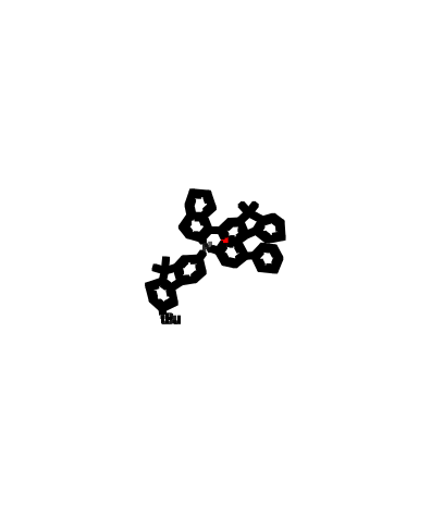 CC(C)(C)c1ccc2c(c1)-c1ccc(N(c3ccc(-c4ccccc4)cc3)c3ccc4ccccc4c3-c3ccc4c(c3)C(C)(C)c3ccccc3-4)cc1C2(C)C